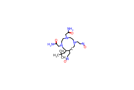 CC(C)(C)CC1CN(CC(N)=O)CCN(CC(N)=O)CCN(CCN=O)CCC1CCN=O